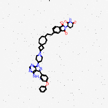 Nc1ncnc2c1c(-c1ccc(Oc3ccccc3)cc1)nn2C1CCN(C2CC3(CCCC(CCc4ccc5c(c4)C(=O)N(C4CCC(=O)NC4=O)C5=O)CC3)C2)CC1